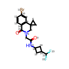 O=C(CN1CC2(CC2)c2cc(Br)ccc2C1=O)NC1CC(C(F)F)C1